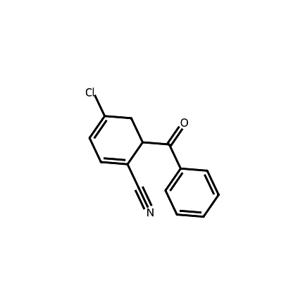 N#CC1=CC=C(Cl)CC1C(=O)c1ccccc1